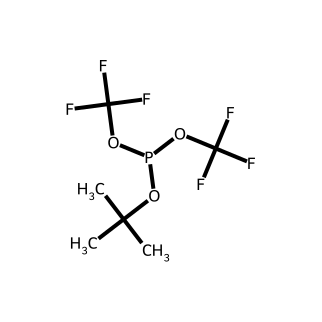 CC(C)(C)OP(OC(F)(F)F)OC(F)(F)F